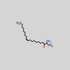 [CH2]C(N)C(=O)CCCCCCC/C=C\CCCCCCCC